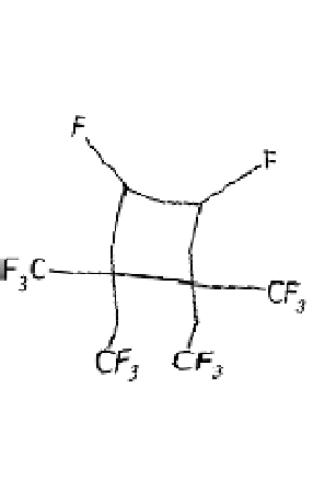 FC1C(F)C(C(F)(F)F)(C(F)(F)F)C1(C(F)(F)F)C(F)(F)F